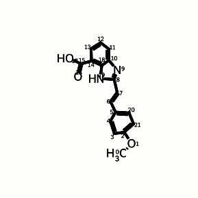 COc1ccc(C=Cc2nc3cccc(C(=O)O)c3[nH]2)cc1